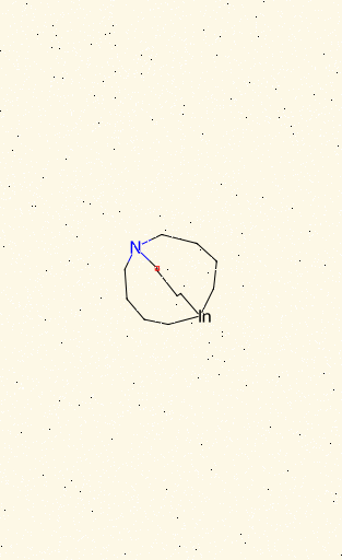 C1C[CH2][In]2[CH2]CCCN(C1)CCC[CH2]2